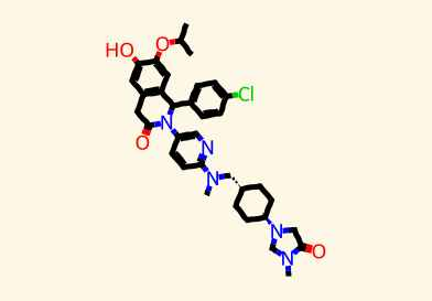 CC(C)Oc1cc2c(cc1O)CC(=O)N(c1ccc(N(C)C[C@H]3CC[C@H](N4CC(=O)N(C)C4)CC3)nc1)C2c1ccc(Cl)cc1